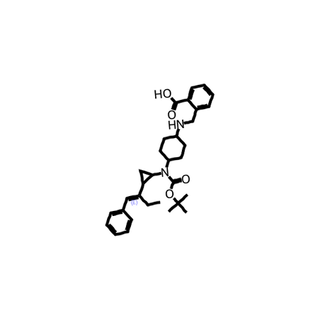 CC/C(=C\c1ccccc1)C1CC1N(C(=O)OC(C)(C)C)C1CCC(NCc2ccccc2C(=O)O)CC1